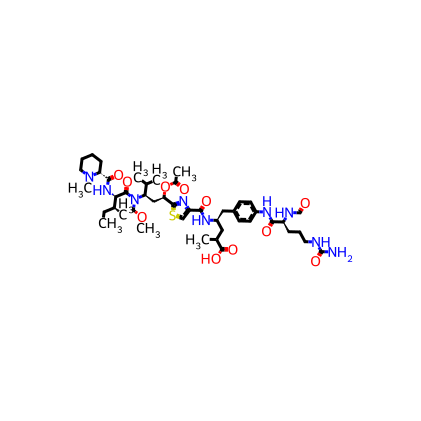 CC[C@H](C)[C@H](NC(=O)[C@H]1CCCCN1C)C(=O)N(COC)[C@H](C[C@@H](OC(C)=O)c1nc(C(=O)N[C@@H](Cc2ccc(NC(=O)[C@H](CCCNC(N)=O)NC=O)cc2)CC(C)C(=O)O)cs1)C(C)C